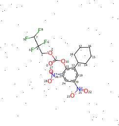 O=C(OCC(F)(F)C(F)F)Oc1c(C2CCCCC2)cc([N+](=O)[O-])cc1[N+](=O)[O-]